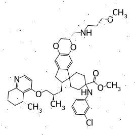 COCCCNC[C@H]1COc2cc3c(cc2O1)C1(CCC(Nc2cccc(Cl)c2)(C(=O)OC)CC1)[C@@H](C[C@@H](C)COc1ccnc2c1[C@H](C)CCC2)C3